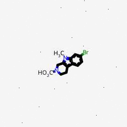 Cn1c2c(c3ccc(Br)cc31)CCN(C(=O)O)C2